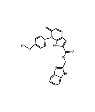 C=C1C=Cc2cc(C(=O)NCc3nc4ccccc4[nH]3)[nH]c2N1c1ccc(OC(C)C)cc1